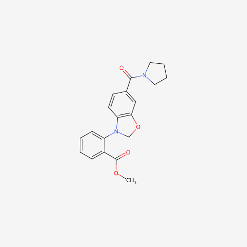 COC(=O)c1ccccc1N1COc2cc(C(=O)N3CCCC3)ccc21